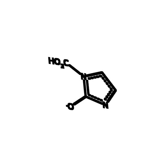 [O]c1nccn1C(=O)O